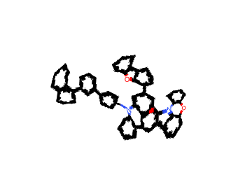 c1cc(-c2ccc(N(c3cccc(-c4cccc5c4oc4ccccc45)c3)c3ccccc3-c3ccc4c(c3)c3cccc5c3n4-c3ccccc3O5)cc2)cc(-c2cccc3ccccc23)c1